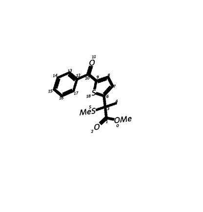 COC(=O)C(C)(SC)c1ccc(C(=O)c2ccccc2)s1